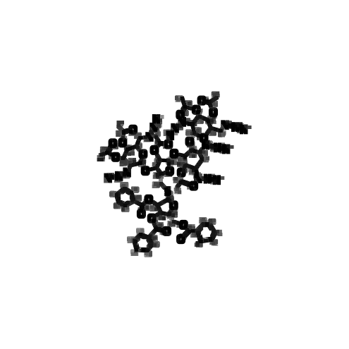 CC(=O)OC1C(O[C@H]2OC(CN=[N+]=[N-])[C@@H](OC(C)=O)C(OC(C)=O)C2N=[N+]=[N-])[C@@H](CS[C@@H]2O[C@H](COC(=O)c3ccccc3)C(OC(=O)c3ccccc3)C2OC(=O)c2ccccc2)O[C@H]1OC1C(OC(C)=O)[C@H](N=[N+]=[N-])CC(N=[N+]=[N-])[C@H]1O[C@H]1OC(CN=[N+]=[N-])[C@@H](OC(C)=O)C(OC(C)=O)C1N=[N+]=[N-]